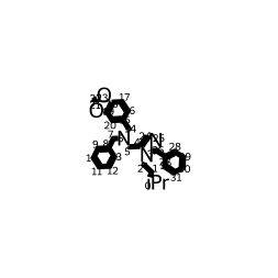 CC(C)CCn1c(CN(Cc2ccccc2)Cc2ccc3c(c2)OCO3)cnc1-c1ccccc1